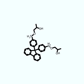 CC(O)CO[SiH2]c1ccc(C2(c3ccc([SiH2]OCC(C)O)cc3)c3ccccc3-c3ccccc32)cc1